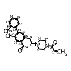 C=CC(=O)N1CCN(CCc2cc(-c3ccccc3Cl)c(Cl)cc2C=O)CC1